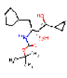 CC(C)(C)OC(=O)N[C@@H](CC1CCCCC1)[C@@H](O)[C@@H](O)C1CC1